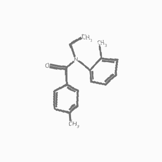 CCN(C(=O)c1ccc(C)cc1)c1ccccc1C